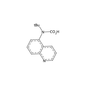 CC(C)(C)N(C(=O)O)c1cccc2ncccc12